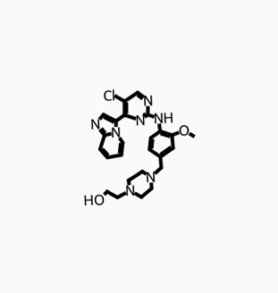 COc1cc(CN2CCN(CCO)CC2)ccc1Nc1ncc(Cl)c(-c2cnc3ccccn23)n1